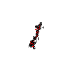 CCc1cc2c(cc1N1CCC(N3CCN(CCCC(=O)NCCCNc4cccc5c(=C=O)n(C6CCC(=C=O)NC6=C=O)c(=C=O)c45)CC3)CC1)C(C)(C)c1[nH]c3cc(C#N)ccc3c1C2=C=O